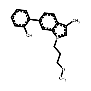 COCCCn1cc(C)c2ccc(-c3ccccc3O)cc21